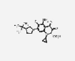 CC(C)(N)C1CCN(c2cc3c(c(N)c2F)C(=O)C(=O)[C@H](C(=O)O)N3C2CC2)C1